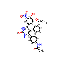 CCOc1cc(C2NC(=O)NC(c3ccc(NC(C)=O)cc3)=C2c2ccccc2)cc([N+](=O)[O-])c1O